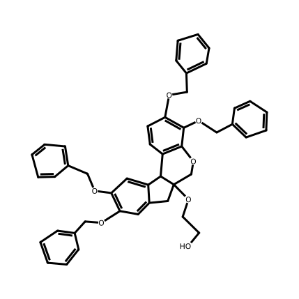 OCCOC12COc3c(ccc(OCc4ccccc4)c3OCc3ccccc3)C1c1cc(OCc3ccccc3)c(OCc3ccccc3)cc1C2